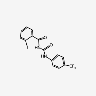 O=C(NC(=O)c1ccccc1I)Nc1ccc(C(F)(F)F)cc1